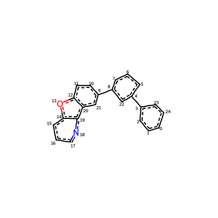 c1ccc(-c2cccc(-c3ccc4oc5cccnc5c4c3)c2)cc1